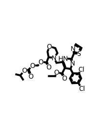 CCOC(=O)C1=C(CN2CCOCC2C(=O)OCOC(=O)OC(C)C)NC(c2nccs2)=NC1c1ccc(Cl)cc1Cl